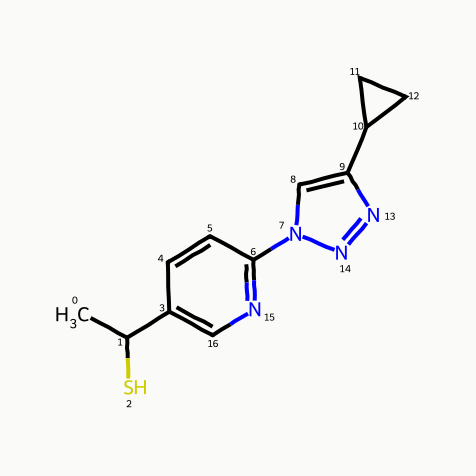 CC(S)c1ccc(-n2cc(C3CC3)nn2)nc1